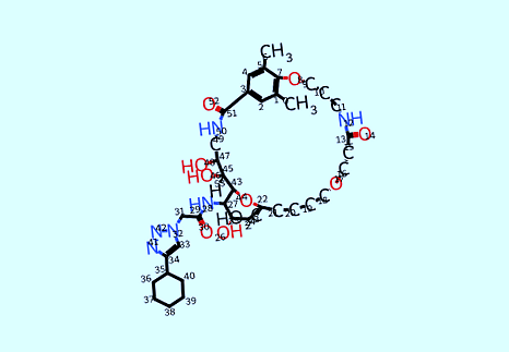 Cc1cc2cc(C)c1OCCCNC(=O)CCOCCCCC1(C(=O)O)C[C@H](O)C(NC(=O)Cn3cc(C4CCCCC4)nn3)C(O1)[C@H](O)C(O)CNC2=O